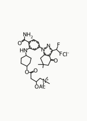 CC(=O)OC(CC(=O)OC1CCC(Nc2cc(-n3nc(C(F)F)c4c3CC(C)(C)CC4=O)ccc2C(N)=O)CC1)C[N+](C)(C)C.[Cl-]